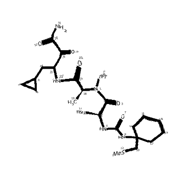 CCCN(C(=O)[C@@H](NC(=O)NC1(CSC)CCCCC1)C(C)(C)C)[C@@H](C)C(=O)NC(CC1CC1)C(=O)C(N)=O